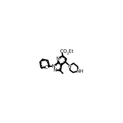 CCOC(=O)c1cc(N2CCNCC2)c2c(C)nn(-c3ccccc3)c2n1